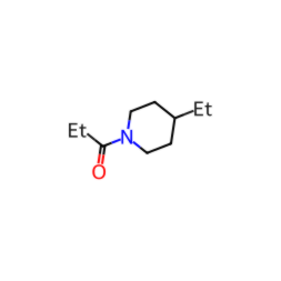 CCC(=O)N1CCC(CC)CC1